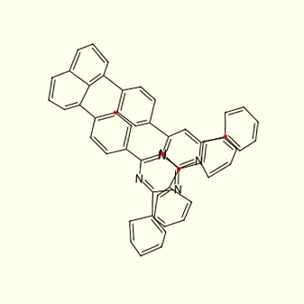 c1ccc(-c2cc(-c3ccc(-c4cccc5cccc(-c6ccc(-c7nc(-c8ccccc8)nc(-c8ccccc8)n7)cc6)c45)cc3)nc(-c3ccccc3)n2)cc1